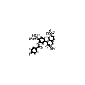 CCCN(CC1CCN(S(C)(=O)=O)CC1)[C@@H](C)Cc1ccc(OC)c(NC(=O)c2ccc(F)cc2)c1.Cl